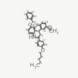 CCCCCOc1ccc(C(CCc2cc(OC)ccc2Cl)Nc2ccc(OCc3ccccc3)cc2)cc1